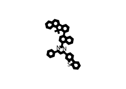 CC1(C)c2c(cccc2-c2ccc(-c3nc(-c4ccccc4)cc(-c4ccc5c(c4)sc4ccccc45)n3)c3ccccc23)-c2ccc3ccccc3c21